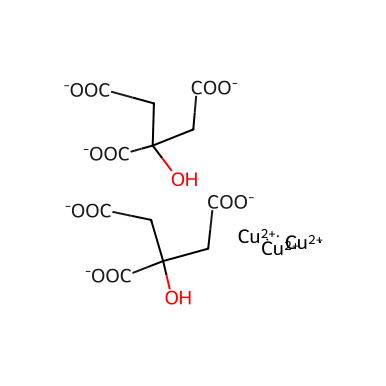 O=C([O-])CC(O)(CC(=O)[O-])C(=O)[O-].O=C([O-])CC(O)(CC(=O)[O-])C(=O)[O-].[Cu+2].[Cu+2].[Cu+2]